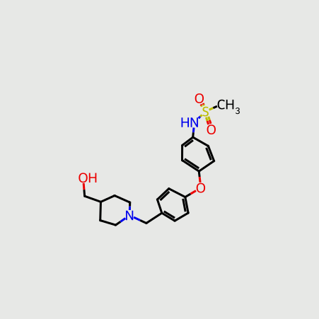 CS(=O)(=O)Nc1ccc(Oc2ccc(CN3CCC(CO)CC3)cc2)cc1